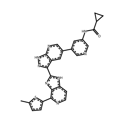 Cc1ccc(-c2nccc3[nH]c(-c4n[nH]c5ncc(-c6cncc(NC(=O)C7CC7)c6)cc45)nc23)s1